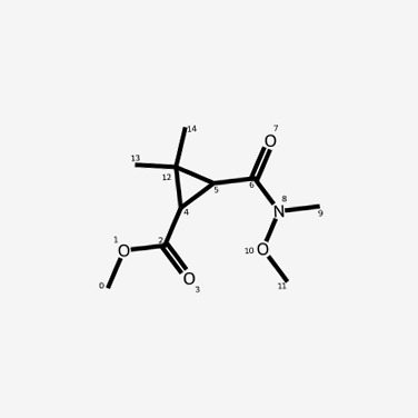 COC(=O)C1C(C(=O)N(C)OC)C1(C)C